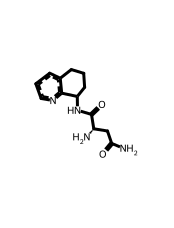 NC(=O)C[C@H](N)C(=O)NC1CCCc2cccnc21